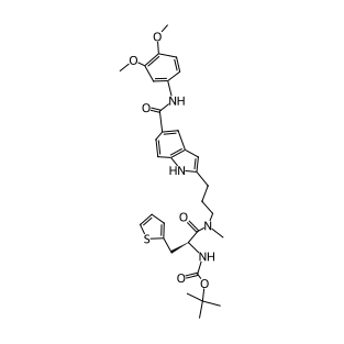 COc1ccc(NC(=O)c2ccc3[nH]c(CCCN(C)C(=O)[C@H](Cc4cccs4)NC(=O)OC(C)(C)C)cc3c2)cc1OC